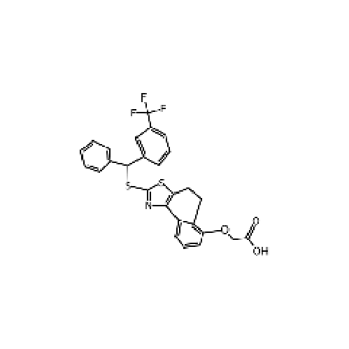 O=C(O)COc1cccc2c1CCc1sc(SC(c3ccccc3)c3cccc(C(F)(F)F)c3)nc1-2